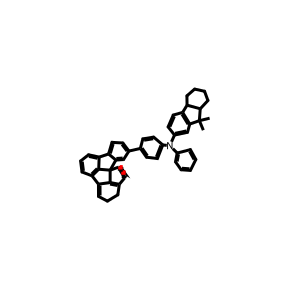 CC1(C)c2cc(N(c3ccccc3)c3ccc(-c4ccc5c(c4)C46C7=C(CCC=C7c7cccc-5c74)c4ccccc46)cc3)ccc2C2CCCCC21